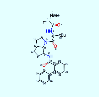 CN[C@@H](C)C(=O)NC(C(=O)N1CCC2CCC(NC(=O)c3ccccc3-c3ccccc3)C21)C(C)(C)C